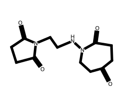 O=C1CCC(=O)N(NCCN2C(=O)CCC2=O)CC1